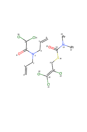 C=CCN(CC=C)C(=O)C(Cl)Cl.CC(C)N(C(=O)SCC(Cl)=C(Cl)Cl)C(C)C